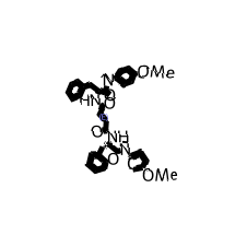 COc1ccc(N(C)C(=O)C(Cc2ccccc2)NC(=O)/C=C/C(=O)N[C@@H](Cc2ccccc2)C(=O)N(C)c2ccc(OC)cc2)cc1